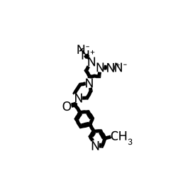 Cc1cncc(-c2ccc(C(=O)N3CCN(C(CN=[N+]=[N-])CN=[N+]=[N-])CC3)cc2)c1